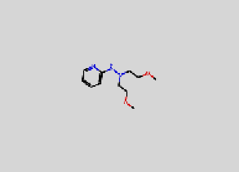 COCCN(CCOC)Nc1ccccn1